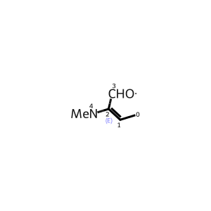 C/C=C(\[C]=O)NC